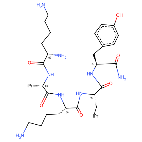 CC(C)C[C@H](NC(=O)[C@H](CCCCN)NC(=O)[C@@H](NC(=O)[C@@H](N)CCCCN)C(C)C)C(=O)N[C@@H](Cc1ccc(O)cc1)C(N)=O